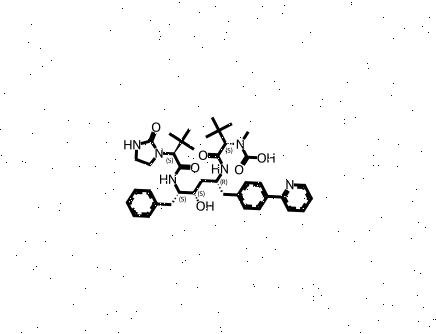 CN(C(=O)O)[C@H](C(=O)N[C@H](Cc1ccc(-c2ccccn2)cc1)C[C@H](O)[C@H](Cc1ccccc1)NC(=O)[C@@H](N1CCNC1=O)C(C)(C)C)C(C)(C)C